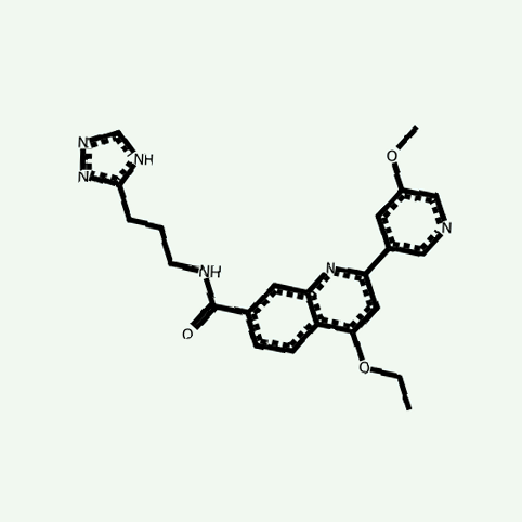 CCOc1cc(-c2cncc(OC)c2)nc2cc(C(=O)NCCCc3nnc[nH]3)ccc12